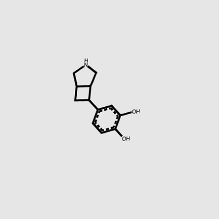 Oc1ccc(C2CC3CNCC32)cc1O